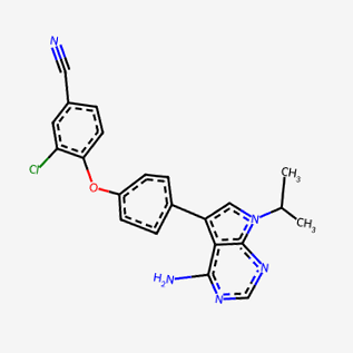 CC(C)n1cc(-c2ccc(Oc3ccc(C#N)cc3Cl)cc2)c2c(N)ncnc21